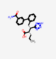 CCC[C@H](C(=O)O)[C@H](Cc1ccccc1-c1cccc(C(N)=O)c1)c1nn[nH]n1